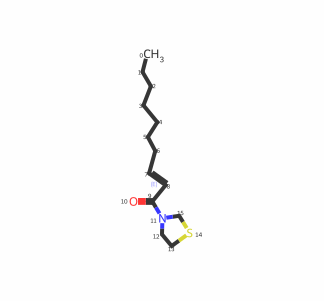 CCCCCCC/C=C/C(=O)N1CCSC1